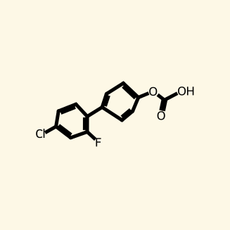 O=C(O)Oc1ccc(-c2ccc(Cl)cc2F)cc1